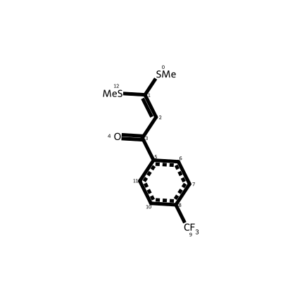 CSC(=CC(=O)c1ccc(C(F)(F)F)cc1)SC